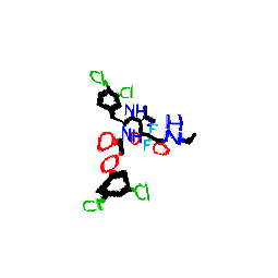 CCNC(=O)C(F)(F)C(=O)[C@@H](C(C)C)C(N)[C@H](Cc1ccc(Cl)c(Cl)c1)NC(=O)COc1cc(Cl)cc(Cl)c1